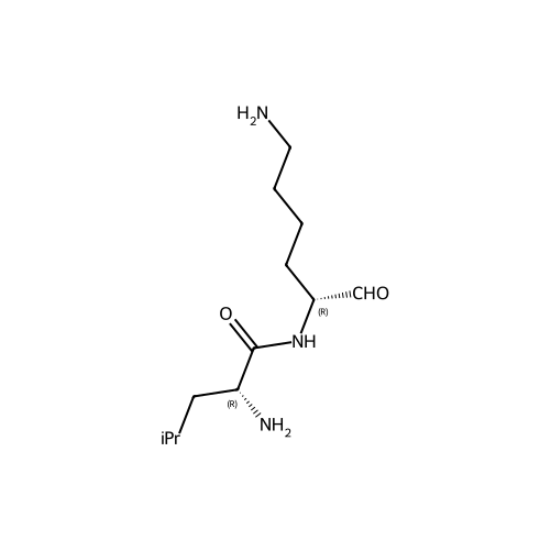 CC(C)C[C@@H](N)C(=O)N[C@@H](C=O)CCCCN